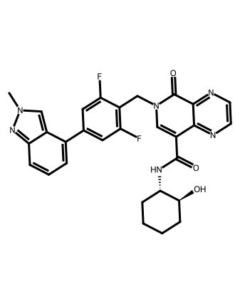 Cn1cc2c(-c3cc(F)c(Cn4cc(C(=O)N[C@H]5CCCC[C@@H]5O)c5nccnc5c4=O)c(F)c3)cccc2n1